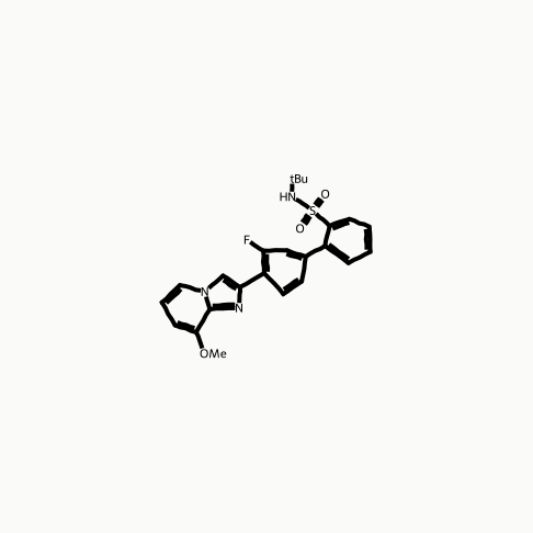 COc1cccn2cc(-c3ccc(-c4ccccc4S(=O)(=O)NC(C)(C)C)cc3F)nc12